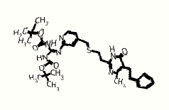 Cc1nc(CCSCc2ccnc(N=C(NC(=O)OC(C)(C)C)NC(=O)OC(C)(C)C)c2)[nH]c(=O)c1CCc1ccccc1